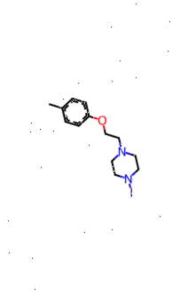 Cc1ccc(OCCN2CCN(I)CC2)cc1